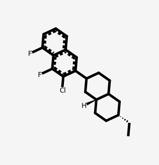 CC[C@@H]1CC[C@@H]2CC(c3cc4cccc(F)c4c(F)c3Cl)CCC2C1